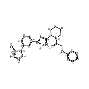 O=C(COc1ccccc1)N1CCCCC1c1noc(-c2cccc(-n3cn[nH]c3=O)c2)n1